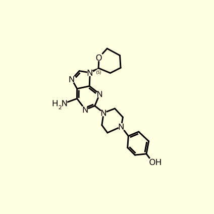 Nc1nc(N2CCN(c3ccc(O)cc3)CC2)nc2c1ncn2[C@@H]1CCCCO1